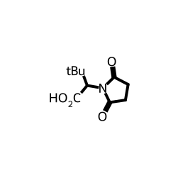 CC(C)(C)C(C(=O)O)N1C(=O)CCC1=O